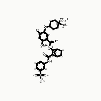 COc1cc(F)c(OC2CCC(N)(C(=O)O)CC2)cc1C(=O)NC1C2CCC(C2)C1C(=O)Nc1cccc(S(=O)(=O)C(F)(F)F)c1